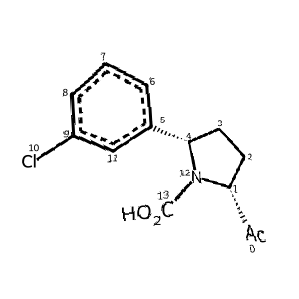 CC(=O)[C@H]1CC[C@@H](c2cccc(Cl)c2)N1C(=O)O